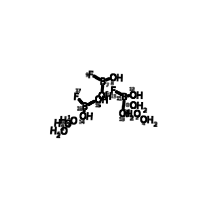 O.O.O.O.O.O.OB(O)F.OB(O)F.OB(O)F